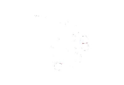 COC(=O)CCCCCO[C@@H]1O[C@@H]2COC(c3ccccc3)O[C@@H]2[C@H](O[C@@H]2O[C@H](COC(C)=O)[C@@H](OC(C)=O)[C@H](OC(C)=O)[C@H]2N2C(=O)c3ccccc3C2=O)[C@H]1O[C@@H]1O[C@H](COC(C)=O)[C@@H](OC(C)=O)[C@H](OC(C)=O)[C@H]1N1C(=O)c2ccccc2C1=O